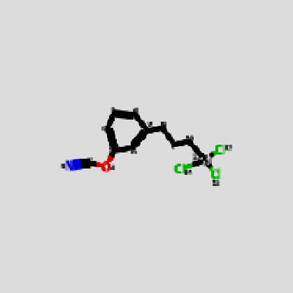 N#COc1cccc(CCC[Si](Cl)(Cl)Cl)c1